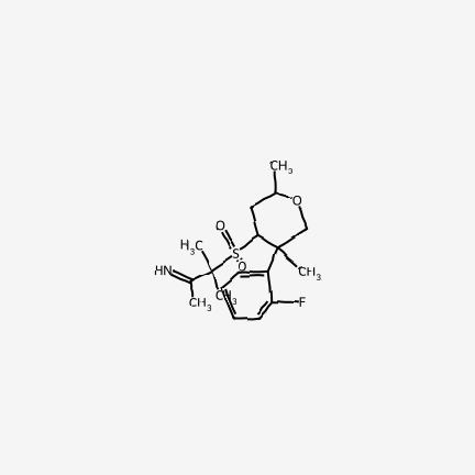 CC(=N)C(C)(C)S(=O)(=O)C1CC(C)OCC1(C)c1ccccc1F